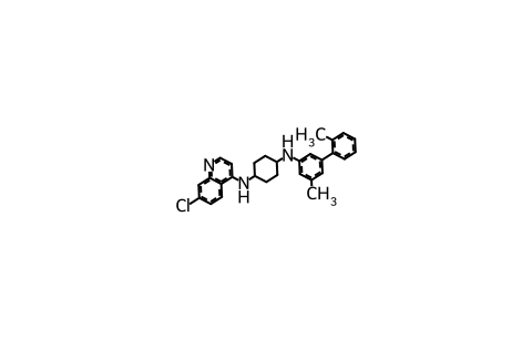 Cc1cc(NC2CCC(Nc3ccnc4cc(Cl)ccc34)CC2)cc(-c2ccccc2C)c1